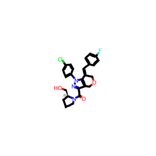 O=C(c1nn(-c2ccc(Cl)cc2)c2c1COCC2=Cc1ccc(F)cc1)N1CCC[C@H]1CO